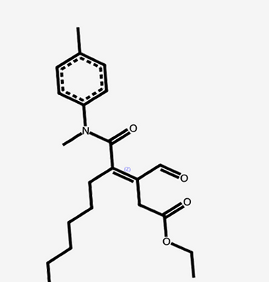 CCCCCC/C(C(=O)N(C)c1ccc(C)cc1)=C(/C=O)CC(=O)OCC